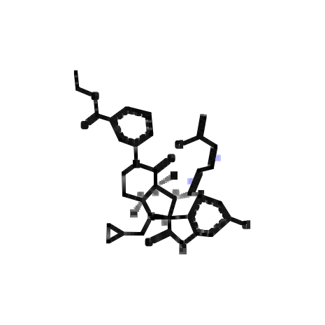 C=C(Cl)/C=C\C=C(/F)[C@H]1[C@@H]2C(=O)N(c3cccc(C(=O)OCC)c3)CC[C@@H]2N(CC2CC2)[C@@]12C(=O)Nc1cc(Cl)ccc12